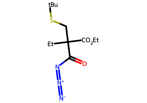 CCOC(=O)C(CC)(CSC(C)(C)C)C(=O)N=[N+]=[N-]